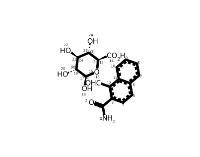 NC(=O)c1ccc2ccccc2c1C=O.O=C(O)[C@H]1O[C@@H](O)[C@H](O)[C@@H](O)[C@@H]1O